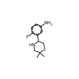 CC1(C)CNC(c2cc(N)ccc2F)CS1